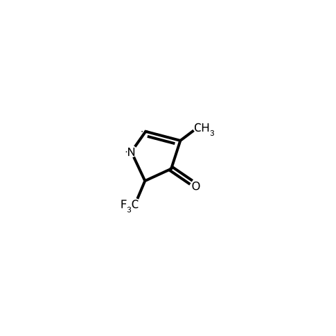 CC1=[C][N]C(C(F)(F)F)C1=O